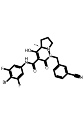 C[C@]12CCCN1N(Cc1cccc(C#N)c1)C(=O)C(C(=O)Nc1cc(F)c(Br)c(F)c1)=C2O